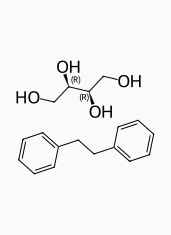 OC[C@@H](O)[C@H](O)CO.c1ccc(CCc2ccccc2)cc1